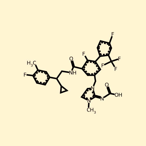 Cc1cc(C(CNC(=O)c2cc(Cn3ccn(C)/c3=N/C(=O)O)cc(-c3ccc(F)cc3C(F)(F)F)c2F)C2CC2)ccc1F